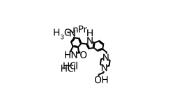 CCCN(C)c1cc2c(c(-c3cc4cc(CN5CCN(CCO)CC5)ccc4[nH]3)c1)C(=O)NC2.Cl.Cl